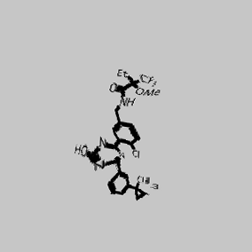 CCC(OC)(C(=O)NCc1ccc(Cl)c(-c2nc(O)nc(-c3cccc(C4(C)CC4)c3)n2)c1)C(F)(F)F